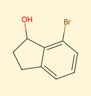 OC1CCc2cccc(Br)c21